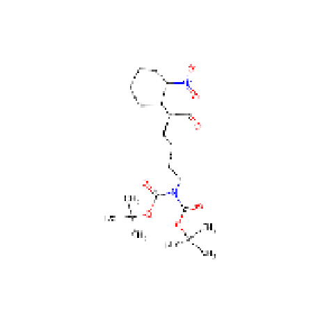 CC(C)(C)OC(=O)N(CCCC[C@H](C=O)[C@@H]1CCCC[C@H]1[N+](=O)[O-])C(=O)OC(C)(C)C